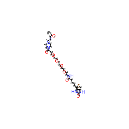 CC(C)C(=O)/C=C/CN1CCN(C(=O)CCOCCOCCOCCOCCNC(=O)CCCC[C@@H]2SCC3NC(=O)NC32)CC1